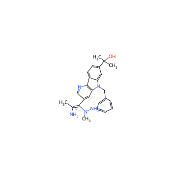 C/C(N)=C(\c1cnc2c3ccc(C(C)(C)O)cc3n(Cc3ccccc3)c2c1)N(C)N